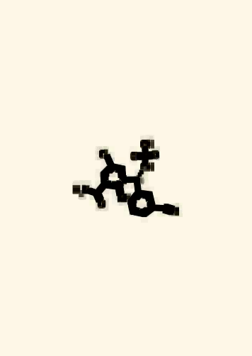 C[C@H](c1cccc(C#N)c1)n1cc(Cl)cc(C(N)=O)c1=N.O=S(=O)(O)O